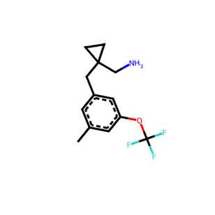 Cc1cc(CC2(CN)CC2)cc(OC(F)(F)F)c1